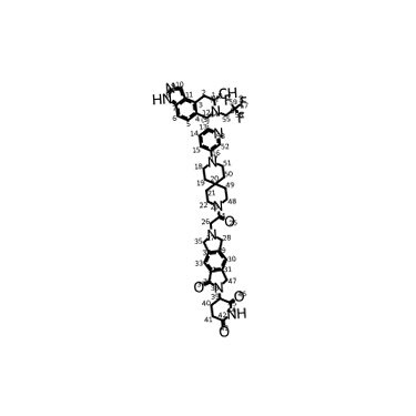 C[C@@H]1Cc2c(ccc3[nH]ncc23)[C@@H](c2ccc(N3CCC4(CCN(C(=O)CN5Cc6cc7c(cc6C5)C(=O)N(C5CCC(=O)NC5=O)C7)CC4)CC3)cn2)N1CC(F)(F)F